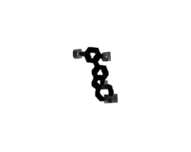 Clc1ccc(Cl)c(-c2ccc3c(c2)cc2n3CCNCC2)c1